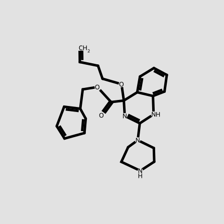 C=CCCOC1(C(=O)OCc2ccccc2)N=C(N2CCNCC2)Nc2ccccc21